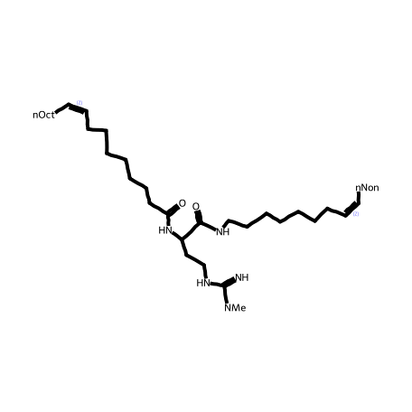 CCCCCCCC/C=C\CCCCCCCC(=O)NC(CCNC(=N)NC)C(=O)NCCCCCCC/C=C\CCCCCCCCC